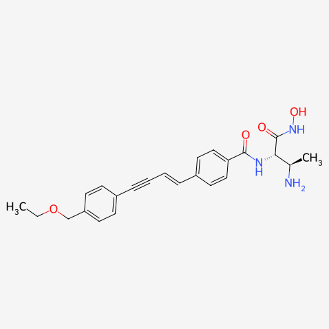 CCOCc1ccc(C#C/C=C/c2ccc(C(=O)N[C@H](C(=O)NO)[C@@H](C)N)cc2)cc1